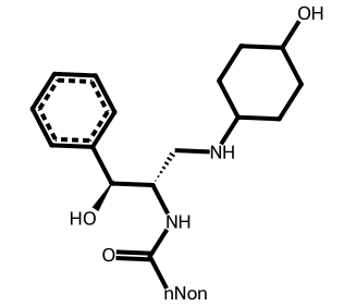 CCCCCCCCCC(=O)N[C@@H](CNC1CCC(O)CC1)[C@@H](O)c1ccccc1